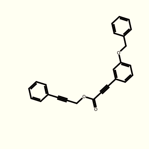 O=C(C#Cc1cccc(OCc2ccccc2)c1)OCC#Cc1ccccc1